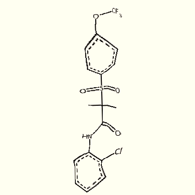 CC(C)(C(=O)Nc1ccccc1Cl)S(=O)(=O)c1ccc(OC(F)(F)F)cc1